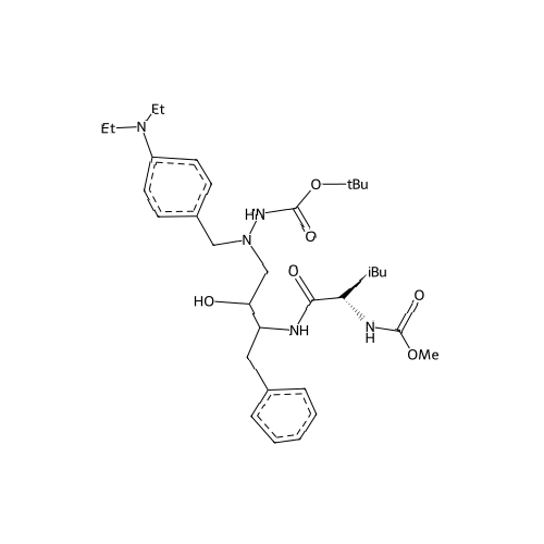 CC[C@H](C)[C@H](NC(=O)OC)C(=O)NC(Cc1ccccc1)C(O)CN(Cc1ccc(N(CC)CC)cc1)NC(=O)OC(C)(C)C